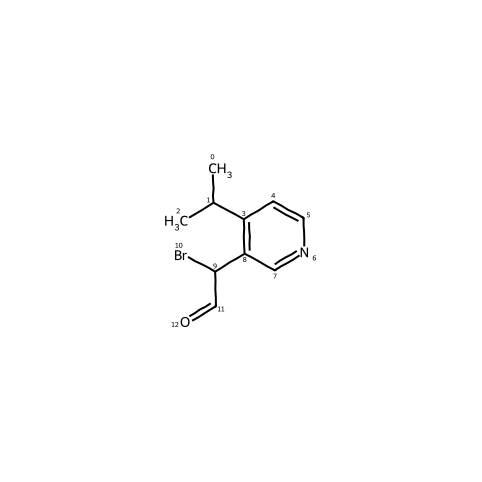 CC(C)c1ccncc1C(Br)C=O